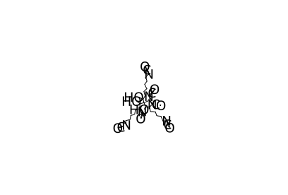 CCC(C(O)C(CCCCCN=C=O)N=C=O)(C(O)C(CCCCCN=C=O)N=C=O)C(O)C(CCCCCN=C=O)N=C=O